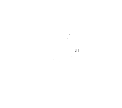 CNC1=CC(c2cc(NS)ccc2Oc2ccc(F)cc2F)=CN(C)C1